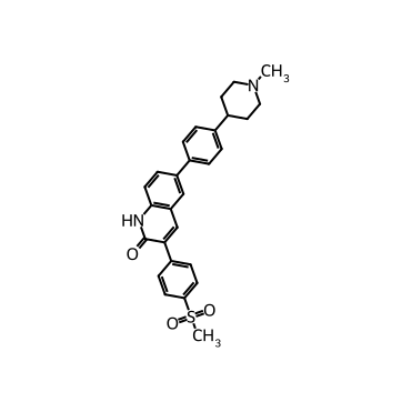 CN1CCC(c2ccc(-c3ccc4[nH]c(=O)c(-c5ccc(S(C)(=O)=O)cc5)cc4c3)cc2)CC1